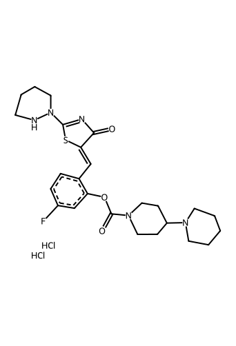 Cl.Cl.O=C1N=C(N2CCCCN2)SC1=Cc1ccc(F)cc1OC(=O)N1CCC(N2CCCCC2)CC1